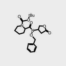 CC(C)(C)OC(=O)N1CCCCC1C(=O)N(OCc1ccccc1)C1COC(=O)C1